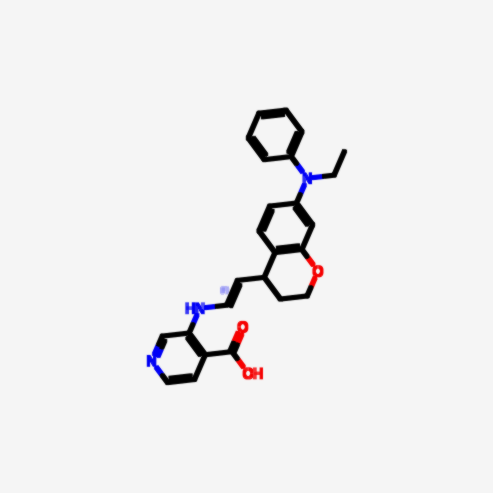 CCN(c1ccccc1)c1ccc2c(c1)OCCC2/C=C/Nc1cnccc1C(=O)O